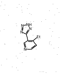 CCc1ccncc1-c1nn[nH]n1